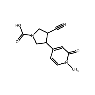 Cn1ccc(C2CN(C(=O)O)CC2C#N)cc1=O